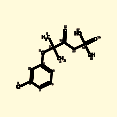 CC(C)(Oc1cccc(Cl)c1)C(=O)CP(=O)(O)O